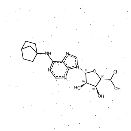 OC(Cl)[C@H]1O[C@@H](n2cnc3c(NC45CCC(CC4)C5)ncnc32)[C@H](O)[C@@H]1O